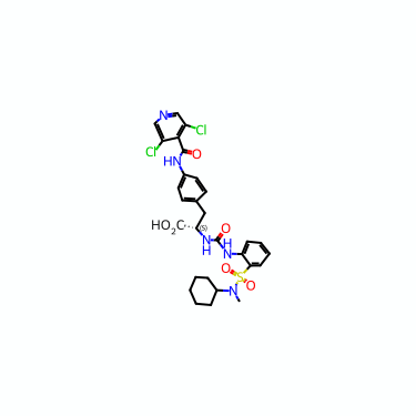 CN(C1CCCCC1)S(=O)(=O)c1ccccc1NC(=O)N[C@@H](Cc1ccc(NC(=O)c2c(Cl)cncc2Cl)cc1)C(=O)O